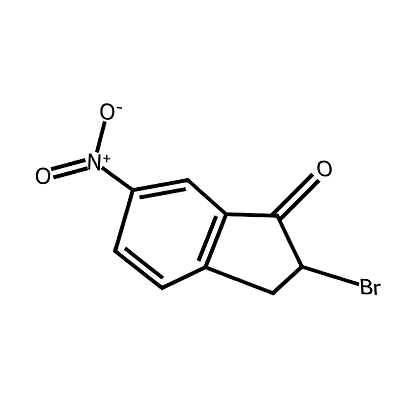 O=C1c2cc([N+](=O)[O-])ccc2CC1Br